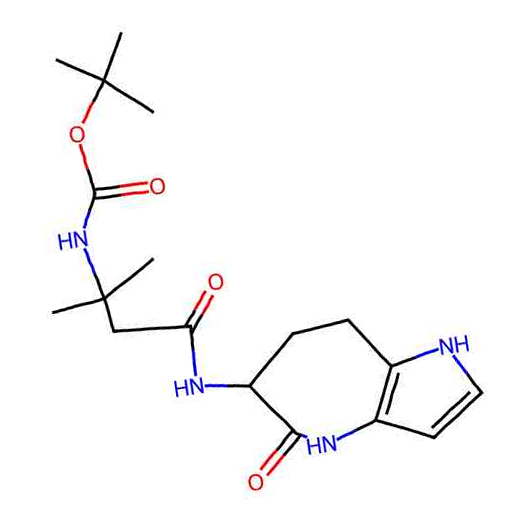 CC(C)(CC(=O)NC1CCc2[nH]ccc2NC1=O)NC(=O)OC(C)(C)C